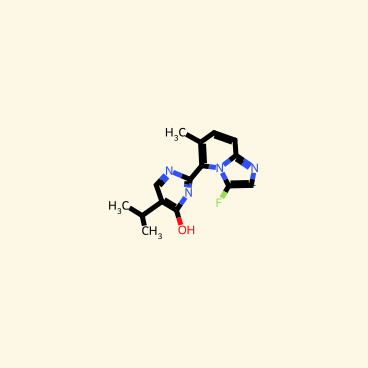 Cc1ccc2n[c]c(F)n2c1-c1ncc(C(C)C)c(O)n1